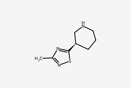 Cc1nsc([C@@H]2CCCNC2)n1